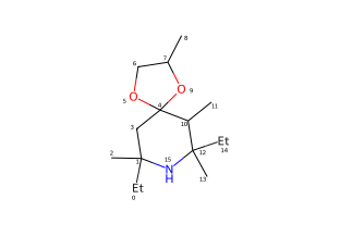 CCC1(C)CC2(OCC(C)O2)C(C)C(C)(CC)N1